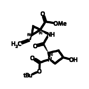 C=C[C@@H]1C[C@]1(NC(=O)[C@@H]1CC(O)CN1C(=O)OC(C)(C)C)C(=O)OC